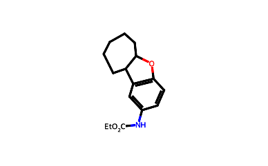 CCOC(=O)Nc1ccc2c(c1)C1CCCCCC1O2